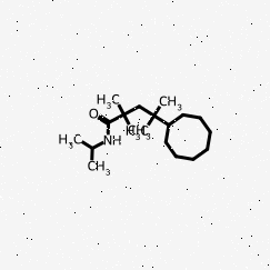 CC(C)NC(=O)C(C)(C)CC(C)(C)C1CCCCCCC1